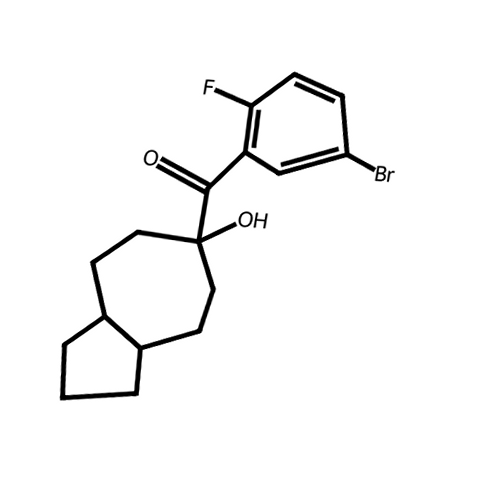 O=C(c1cc(Br)ccc1F)C1(O)CCC2CCCC2CC1